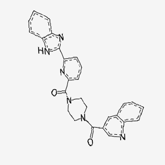 O=C(c1cnc2ccccc2c1)N1CCN(C(=O)c2cccc(-c3nc4ccccc4[nH]3)n2)CC1